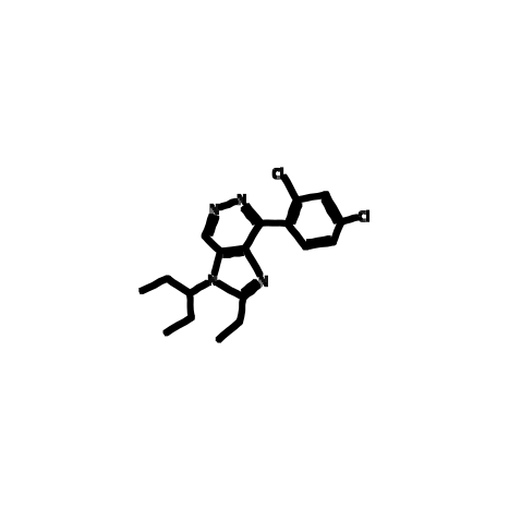 CCc1nc2c(-c3ccc(Cl)cc3Cl)nncc2n1C(CC)CC